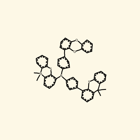 CC1(C)c2ccccc2Sc2c(-c3ccc(N(c4ccc(-c5cccc6c5Oc5ccccc5O6)cc4)c4cccc5c4Sc4ccccc4[Si]5(C)C)cc3)cccc21